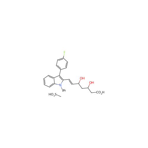 CC(C)n1c(/C=C/C(O)CC(O)CC(=O)O)c(-c2ccc(F)cc2)c2ccccc21.CS(=O)(=O)O